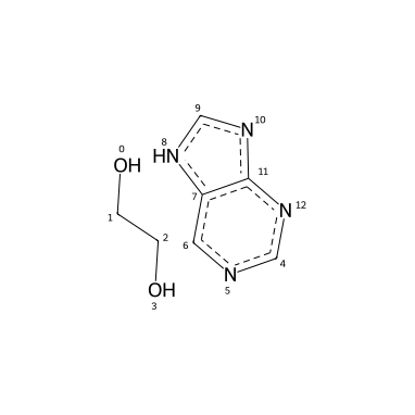 OCCO.c1ncc2[nH]cnc2n1